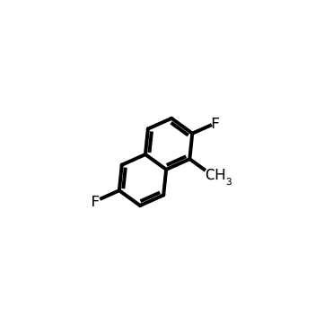 Cc1c(F)ccc2cc(F)ccc12